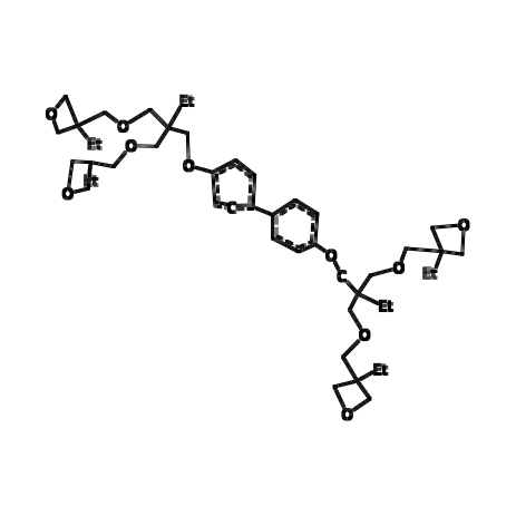 CCC1(COCC(CC)(COCC2(CC)COC2)COc2ccc(-c3ccc(OCC(CC)(COCC4(CC)COC4)COCC4(CC)COC4)cc3)cc2)COC1